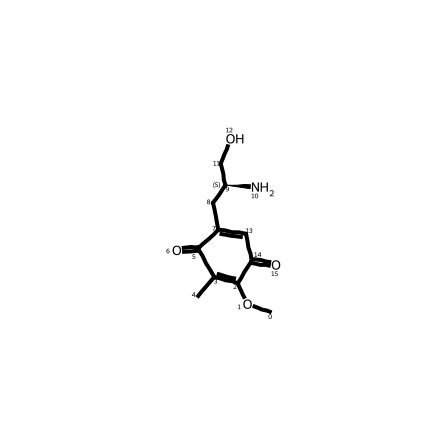 COC1=C(C)C(=O)C(C[C@H](N)CO)=CC1=O